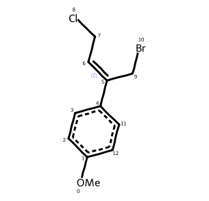 COc1ccc(/C(=C/CCl)CBr)cc1